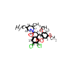 COc1cc(O)c(C(CC(=O)N2CC(C)CC(C)C2)c2ccc(Cl)c(Cl)c2)c(OC)c1